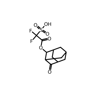 O=C1C2CC3CC(C2)C(OC(=O)C(F)(F)S(=O)(=O)O)C1C3